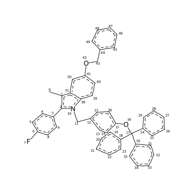 Cc1c(-c2ccc(F)cc2)n(Cc2ccc(OC(c3ccccc3)(c3ccccc3)c3ccccc3)cc2)c2ccc(OCc3ccccc3)cc12